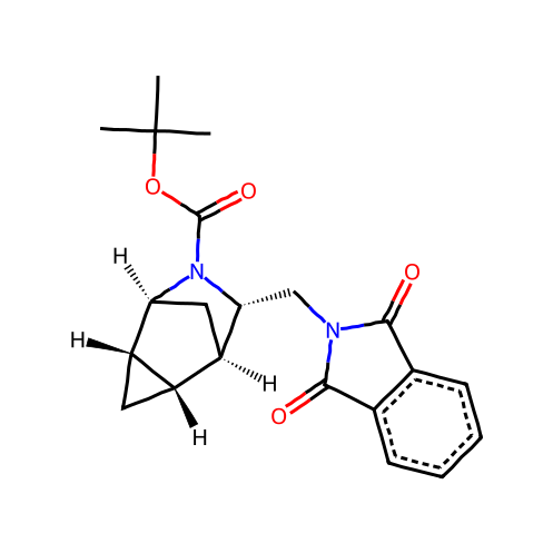 CC(C)(C)OC(=O)N1[C@H](CN2C(=O)c3ccccc3C2=O)[C@@H]2C[C@H]1[C@H]1C[C@@H]21